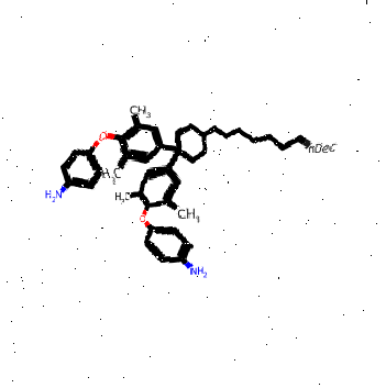 CCCCCCCCCCCCCCCCCC1CCC(c2cc(C)c(Oc3ccc(N)cc3)c(C)c2)(c2cc(C)c(Oc3ccc(N)cc3)c(C)c2)CC1